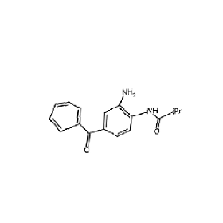 CC(C)C(=O)Nc1ccc(C(=O)c2ccccc2)cc1N